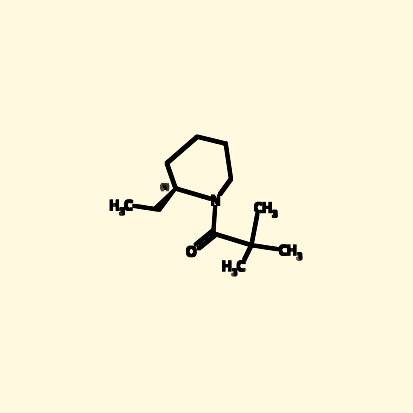 CC[C@H]1CCCCN1C(=O)C(C)(C)C